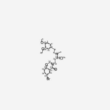 COc1ccc(CCN(C)CCCN2COc3ccc(Br)cc3C2=O)cc1OC.Cl